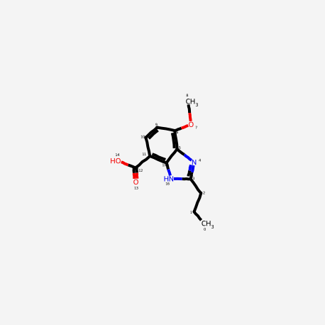 CCCc1nc2c(OC)ccc(C(=O)O)c2[nH]1